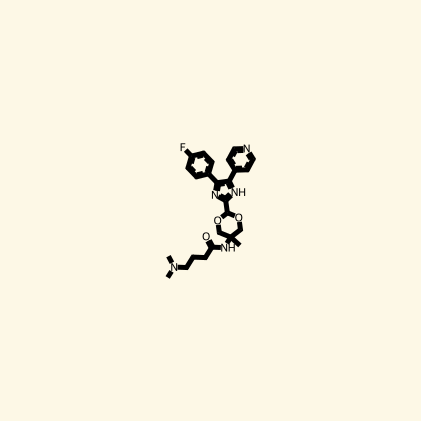 CN(C)CCCC(=O)NC1(C)COC(c2nc(-c3ccc(F)cc3)c(-c3ccncc3)[nH]2)OC1